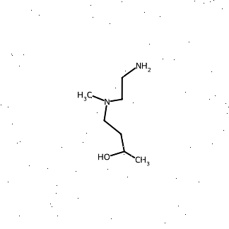 CC(O)CCN(C)CCN